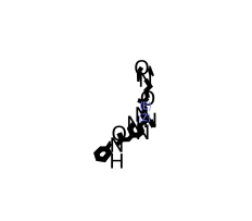 C=N/C(=N\C=C(/C)OCCN1CCOCC1)c1ncc(CC(=O)NCc2ccccc2)cn1